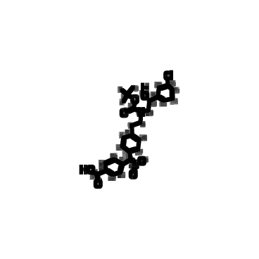 CC(C)(C)OC(=O)N(CCc1ccc(C(c2ccc(C(=O)O)cc2)=S(=O)=O)cc1)C[C@H](O)c1cccc(Cl)c1